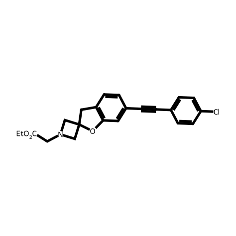 CCOC(=O)CN1CC2(Cc3ccc(C#Cc4ccc(Cl)cc4)cc3O2)C1